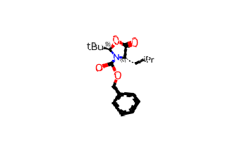 CC(C)C[C@H]1C(=O)O[C@H](C(C)(C)C)N1C(=O)OCc1ccccc1